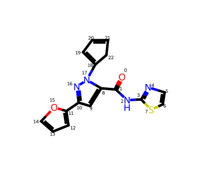 O=C(Nc1nccs1)c1cc(-c2ccco2)nn1C1=CC=CC1